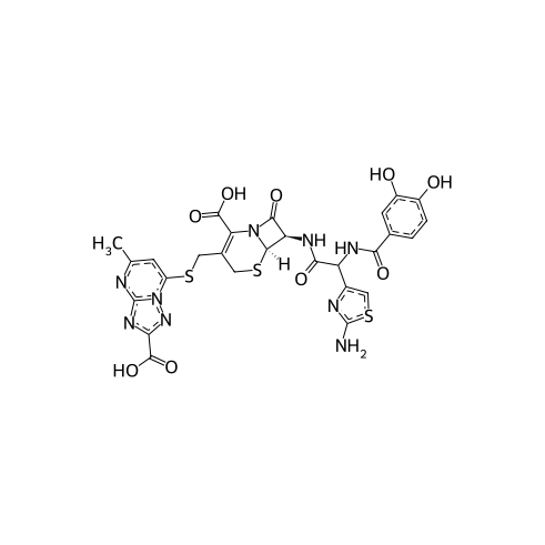 Cc1cc(SCC2=C(C(=O)O)N3C(=O)[C@@H](NC(=O)C(NC(=O)c4ccc(O)c(O)c4)c4csc(N)n4)[C@H]3SC2)n2nc(C(=O)O)nc2n1